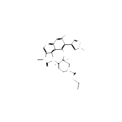 CCOC(=O)N1CC[C@H]2[C@@H](C1)Oc1c(-c3cnn(C)c3)c(F)cc3ncc4c(c13)n2c(=O)n4C